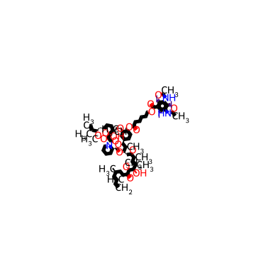 C=C/C=C/[C@@H](C)C[C@@H](C)C(=O)[C@H](OC)[C@H](O)/C(C)=C/[C@@H](C)C(=O)C[C@H](OC(=O)[C@@H]1CCCCN1C(=O)C(=O)[C@]1(O)O[C@H](C[C@H](OC)/C(C)=C/C)CC[C@H]1C)[C@H](C)C[C@@H]1CC[C@@H](OC(=O)CCCCCOC(=O)c2c(I)c(NC(C)=O)c(I)c(NC(C)=O)c2I)[C@H](OC)C1